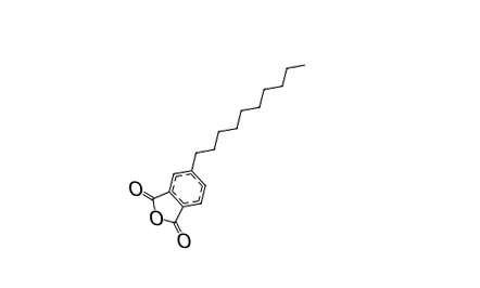 CCCCCCCCCCc1ccc2c(c1)C(=O)OC2=O